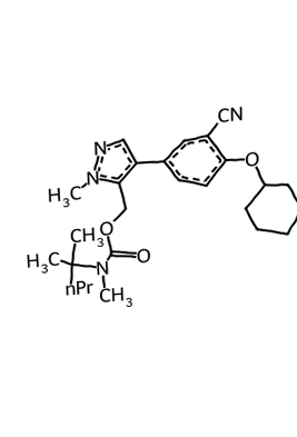 CCCC(C)(C)N(C)C(=O)OCc1c(-c2ccc(OC3CCCCC3)c(C#N)c2)cnn1C